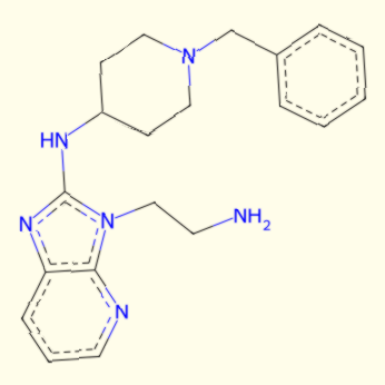 NCCn1c(NC2CCN(Cc3ccccc3)CC2)nc2cccnc21